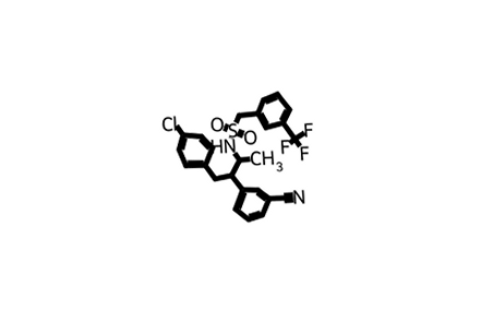 CC(NS(=O)(=O)Cc1cccc(C(F)(F)F)c1)C(Cc1ccc(Cl)cc1)c1cccc(C#N)c1